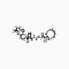 O=C(CCCCCNC(=O)C1CCC(CN2C(=O)C=CC2=O)CC1)NC1CCCCCCCCC1